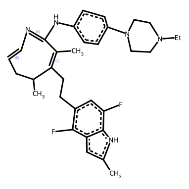 CCN1CCN(c2ccc(NC3=N/C=C/CC(C)/C(CCc4cc(F)c5[nH]c(C)cc5c4F)=C\3C)cc2)CC1